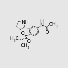 CC(=O)Nc1ccc(S(=O)(=O)C(C)C)c([C@@H]2CCCN2)c1